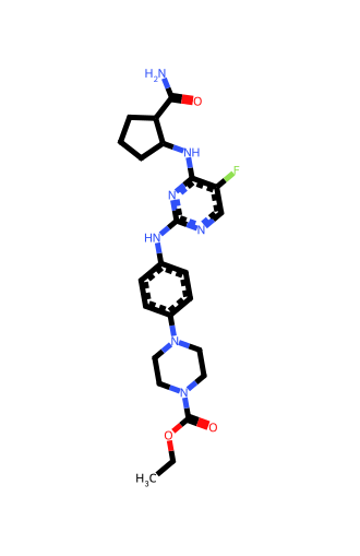 CCOC(=O)N1CCN(c2ccc(Nc3ncc(F)c(NC4CCCC4C(N)=O)n3)cc2)CC1